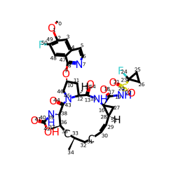 COc1cc2ccnc(O[C@@H]3C[C@H]4C(=O)N[C@]5(C(=O)NS(=O)(=O)C6(F)CC6)C[C@H]5C=CCC[C@@H](C)C[C@@H](C)[C@H](NC(=O)O)C(=O)N4C3)c2cc1F